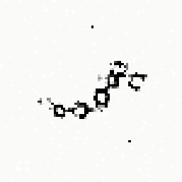 N[C@@H]1CCN(c2ncc(Nc3ccc(-c4cc5c(N6CCOCC6)ncnc5[nH]4)cc3)cn2)C1